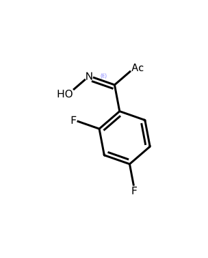 CC(=O)/C(=N/O)c1ccc(F)cc1F